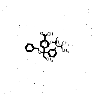 CCC(OCc1ccccc1)(c1ccc(C(=O)O)cc1)c1cccc(N(C(C)C)C(C)C)c1